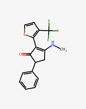 CNC1=C(c2sccc2C(F)(F)F)C(=O)C(c2ccccc2)C1